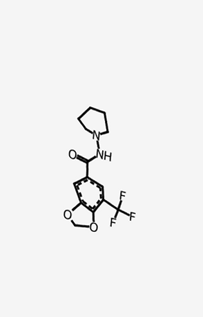 O=C(NN1CCCCC1)c1cc2c(c(C(F)(F)F)c1)OCO2